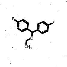 CCOC(c1ccc(F)cc1)c1ccc(F)cc1